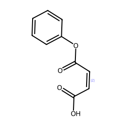 O=C(O)/C=C\C(=O)Oc1ccccc1